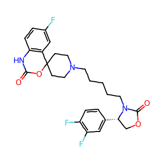 O=C1Nc2ccc(F)cc2C2(CCN(CCCCCN3C(=O)OC[C@@H]3c3ccc(F)c(F)c3)CC2)O1